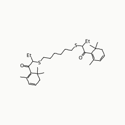 CCC(SCCCCCCSC(CC)C(=O)C1=C(C)C=CCC1(C)C)C(=O)C1=C(C)C=CCC1(C)C